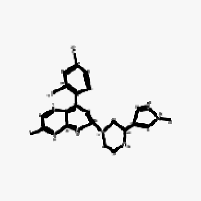 Cc1cnc2c(-c3ccc(Cl)cc3F)cc(N3CCOC(c4cnn(C)c4)C3)nc2n1